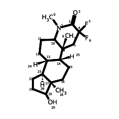 CN1C(=O)C(F)(F)C[C@@]2(C)C1CC[C@@H]1[C@H]2CC[C@]2(C)C(O)CC[C@@H]12